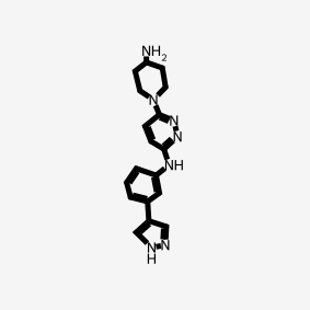 NC1CCN(c2ccc(Nc3cccc(-c4cn[nH]c4)c3)nn2)CC1